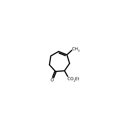 CCOC(=O)C1CC(C)=CCCC1=O